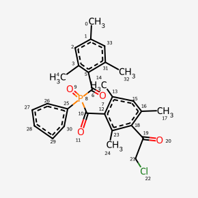 Cc1cc(C)c(C(=O)P(=O)(C(=O)c2c(C)cc(C)c(C(=O)CCl)c2C)c2ccccc2)c(C)c1